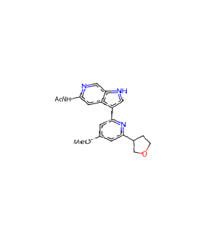 COc1cc(-c2c[nH]c3cnc(NC(C)=O)cc23)nc(C2CCOC2)c1